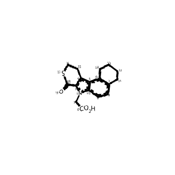 O=C(O)Cn1c2c(c3c4c(ccc31)CCCC4)CCSC2=O